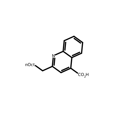 CCCCCCCCCc1cc(C(=O)O)c2ccccc2n1